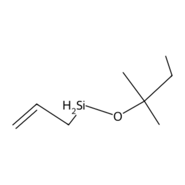 C=CC[SiH2]OC(C)(C)CC